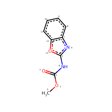 COC(=O)Nc1nc2ccccc2o1